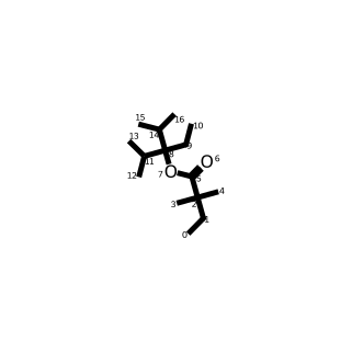 CCC(C)(C)C(=O)OC(CC)(C(C)C)C(C)C